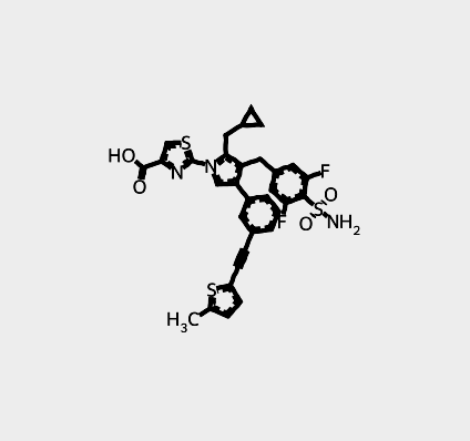 Cc1ccc(C#Cc2cccc(-c3cn(-c4nc(C(=O)O)cs4)c(CC4CC4)c3Cc3cc(F)c(S(N)(=O)=O)c(F)c3)c2)s1